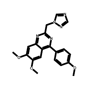 COc1ccc(-c2nc(Cn3cncn3)nc3cc(OC)c(OC)cc23)cc1